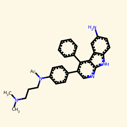 CC(=O)N(CCCN(C)C)c1ccc(-c2cnc3[nH]c4ccc(N)cc4c3c2-c2ccccc2)cc1